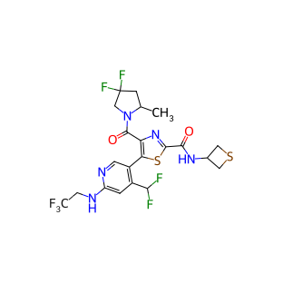 CC1CC(F)(F)CN1C(=O)c1nc(C(=O)NC2CSC2)sc1-c1cnc(NCC(F)(F)F)cc1C(F)F